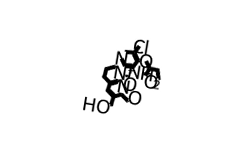 NC(=O)[N@+]1(c2cc(OC3CCOC3)c(Cl)cn2)CCCc2cc(CO)c(C=O)nc21